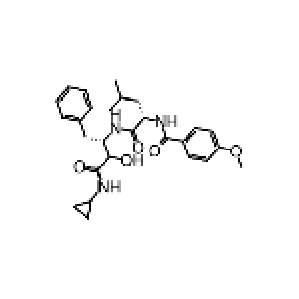 COc1ccc(C(=O)N[C@@H](CC(C)C)C(=O)N[C@@H](Cc2ccccc2)C(O)C(=O)NC2CC2)cc1